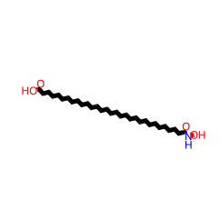 O=C(O)CCCCCCCCCCCCCCCCCCCCCCCCCCCCCC(=O)NO